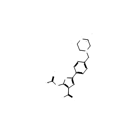 C[C@@H]1CN(Cc2ccc(-c3cc(C(N)=O)c(NC(N)=O)s3)cc2)C[C@H](C)O1